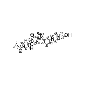 O=C(C1CC1)N1CCC(O)(Cn2cnc3c(cnn3-c3cccc(N4CCN(CCO)CC4)c3)c2=O)CC1